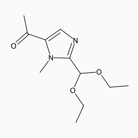 CCOC(OCC)c1ncc(C(C)=O)n1C